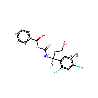 C[C@@](CCO)(NC(=S)NC(=O)c1ccccc1)c1cc(Br)c(F)cc1F